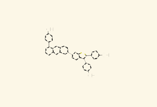 Cc1ccc(-c2sc3cc(-c4ccc5cc6c(-c7ccc(C)cc7)cccc6cc5c4)ccc3c2-c2ccc(C)cc2)cc1